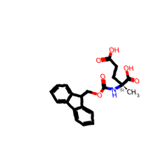 C[C@@](CCC(=O)O)(NC(=O)OCC1c2ccccc2-c2ccccc21)C(=O)O